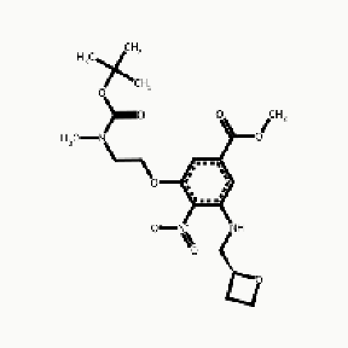 COC(=O)c1cc(NC[C@@H]2CCO2)c([N+](=O)[O-])c(OCCN(C)C(=O)OC(C)(C)C)c1